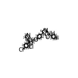 O=C(Nc1nccc(-c2ccc(OC[C@@H]3CO[C@@](Cn4ccnc4)(c4ccc(Cl)cc4Cl)O3)cc2)n1)c1ccc(F)cc1